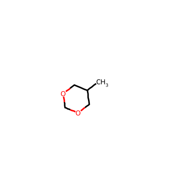 CC1COCOC1